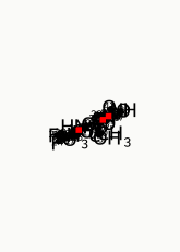 CC(C)(O)COc1c(COC(=O)Nc2ccc(Oc3ccc(F)c(F)c3)cc2)ccc2c1C(=O)N(C1CCC(=O)NC1=O)C2